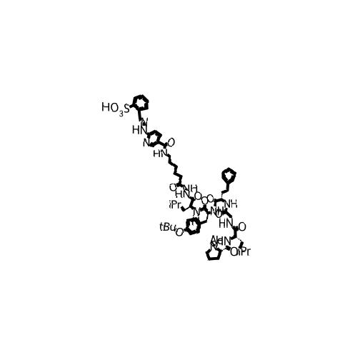 CC(=O)N1CCC[C@H]1C(=O)N[C@@H](CC(C)C)C(=O)NCC(=O)N[C@@H](CCc1ccccc1)C(=O)N[C@@H](Cc1ccc(OC(C)(C)C)cc1)C(=O)N[C@@H](CC(C)C)C(=O)NNC(=O)CCCCCNC(=O)c1ccc(N/N=C/c2ccccc2S(=O)(=O)O)nc1